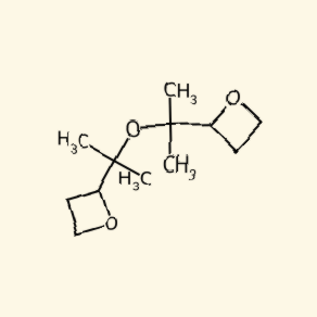 CC(C)(OC(C)(C)C1CCO1)C1CCO1